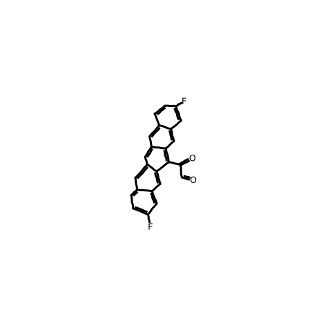 O=CC(=O)c1c2cc3cc(F)ccc3cc2cc2cc3ccc(F)cc3cc12